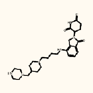 O=C1CCC(N2Cc3c(NCCCCN4CCC(CN5CCNCC5)CC4)cccc3C2=O)C(=O)N1